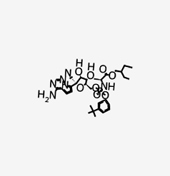 CCC(CC)COC(=O)[C@H](C)NP(=O)(OC[C@H]1O[C@@](C#N)(c2ccc3c(N)ncnn23)[C@H](O)[C@@H]1O)Oc1cccc(C(C)(C)C)c1